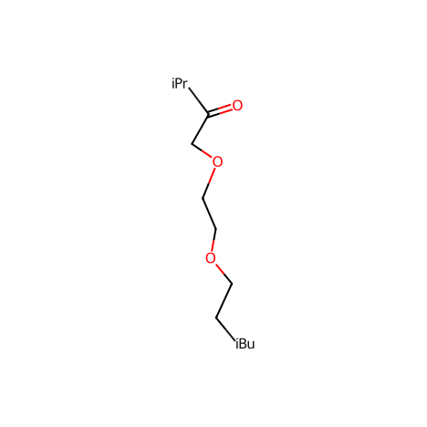 CCC(C)CCOCCOCC(=O)C(C)C